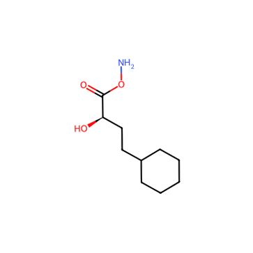 NOC(=O)[C@H](O)CCC1CCCCC1